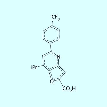 CC(C)c1cc(-c2ccc(C(F)(F)F)cc2)nc2cc(C(=O)O)oc12